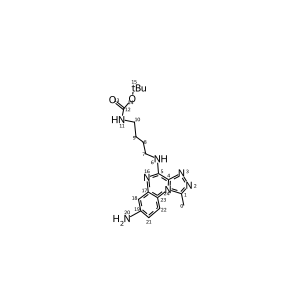 Cc1nnc2c(NCCCCNC(=O)OC(C)(C)C)nc3cc(N)ccc3n12